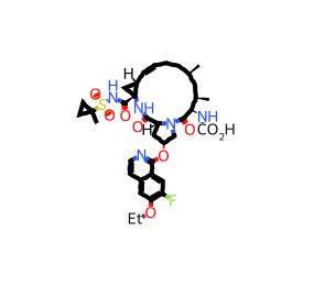 CCOc1cc2ccnc(O[C@@H]3C[C@H]4C(=O)N[C@]5(C(=O)NS(=O)(=O)C6(C)CC6)C[C@H]5/C=C\CC[C@@H](C)C[C@@H](C)[C@H](NC(=O)O)C(=O)N4C3)c2cc1F